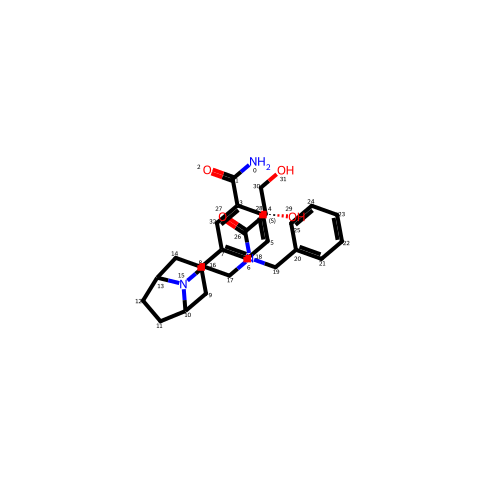 NC(=O)c1cccc(C2CC3CCC(C2)N3CCN(Cc2ccccc2)C(=O)[C@@H](O)CO)c1